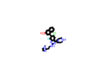 Cn1ccnc1CCNc1nc(N2C3CCC2CNC3)c2cc(Cl)c(-c3cc(O)cc4ccccc34)c(F)c2n1